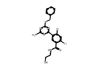 Nc1nc(SCc2ccccc2)nc(-c2cc(C(=O)NCCO)c(Cl)cc2Cl)n1